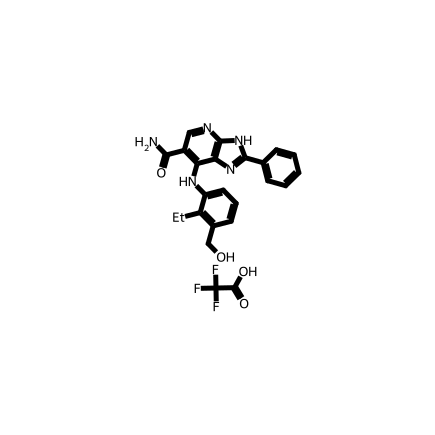 CCc1c(CO)cccc1Nc1c(C(N)=O)cnc2[nH]c(-c3ccccc3)nc12.O=C(O)C(F)(F)F